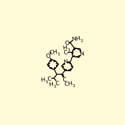 C=C=C(c1ccc(-c2cncc(C(N)=O)c2C)nc1)C(c1ccc(OC)cc1)C(C)C